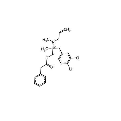 C=CCN(C)[C@](C)([CH]OC(=O)Cc1ccccc1)Cc1ccc(Cl)c(Cl)c1